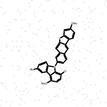 COc1ccc2c(c1)sc1cc3cc(-n4c5ccc(C(C)(C)C)cc5c5c(OC)ccc(Cl)c54)ccc3cc12